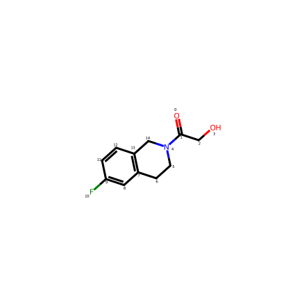 O=C(CO)N1CCc2cc(F)ccc2C1